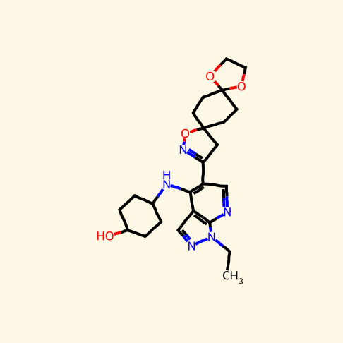 CCn1ncc2c(NC3CCC(O)CC3)c(C3=NOC4(CCC5(CC4)OCCO5)C3)cnc21